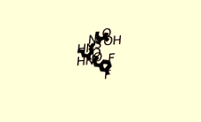 CCCC(NC(=O)Cc1cc(F)cc(F)c1)C(=O)Nc1nc(C)c(C(=O)O)s1